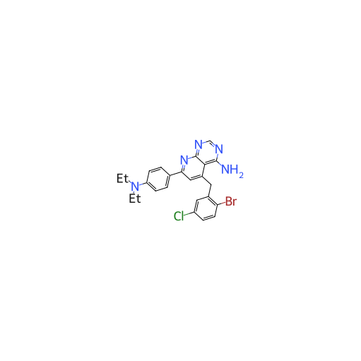 CCN(CC)c1ccc(-c2cc(Cc3cc(Cl)ccc3Br)c3c(N)ncnc3n2)cc1